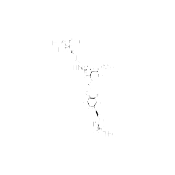 COC(=O)c1nc(NCCCCO[Si](C)(C)C(C)(C)C)sc1CCCOc1ccc(C#CCNC(=O)OC(C)(C)C)cc1F